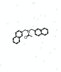 CC(=O)N(Cc1ccc2ccccc2c1)Cc1ccc2ccccc2c1